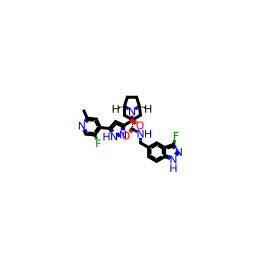 Cc1cc(-c2cc(C(=O)N3[C@@H]4CC[C@H]3C[C@H](C(=O)NCc3ccc5[nH]nc(F)c5c3)C4)n[nH]2)c(F)cn1